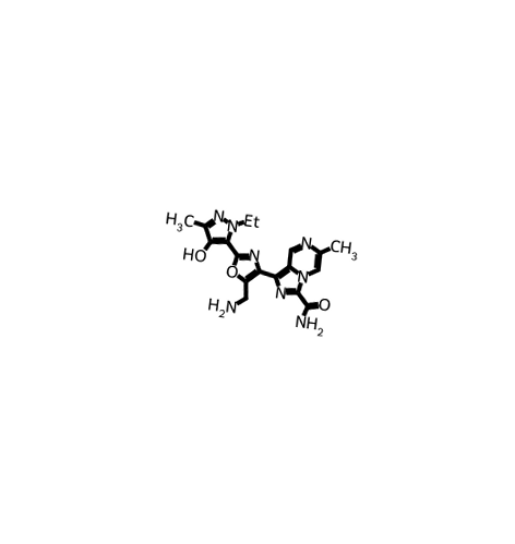 CCn1nc(C)c(O)c1-c1nc(-c2nc(C(N)=O)n3cc(C)ncc23)c(CN)o1